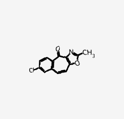 Cc1nc2c(=O)c3ccc(Cl)cc3ccc2o1